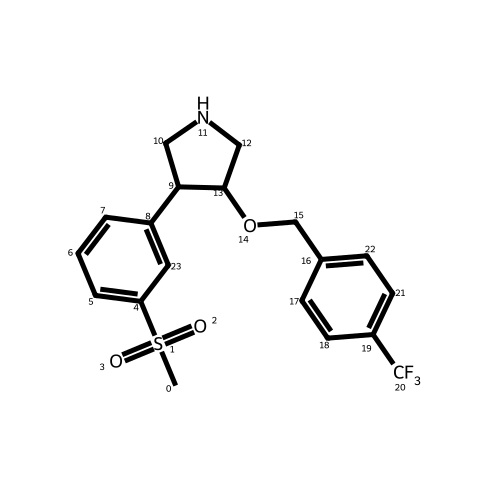 CS(=O)(=O)c1cccc(C2CNCC2OCc2ccc(C(F)(F)F)cc2)c1